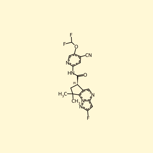 CC1(C)C[C@@H](C(=O)Nc2cc(C#N)c(OC(F)F)cn2)c2cnc3cc(F)nn3c21